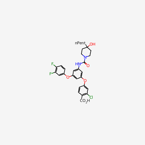 CCCCCC1(O)CCN(C(=O)Nc2cc(Oc3ccc(F)c(F)c3)cc(Oc3ccc(C(=O)O)c(Cl)c3)c2)CC1